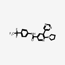 O=C(Nc1ccc(C(F)(F)C(F)(F)F)cc1)c1cnc(N2CCCC2)c(-c2cncnc2)c1